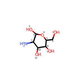 NC1C(O)OC(CO)C(O)C1O